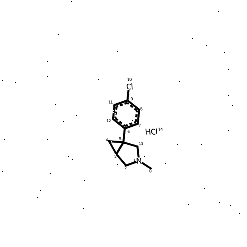 CN1CC2CC2(c2ccc(Cl)cc2)C1.Cl